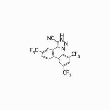 N#Cc1[nH]nnc1-c1cc(C(F)(F)F)ccc1-c1cc(C(F)(F)F)cc(C(F)(F)F)c1